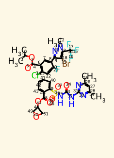 CC(C)OC(=O)c1cc(-c2nn(C)c(C(F)(F)F)c2Br)c(F)cc1Cl.Cc1cc(C)nc(NC(=O)NS(=O)(=O)c2ccccc2C(=O)OC2COC2)n1